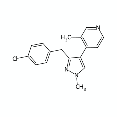 Cc1cnccc1-c1cn(C)nc1Cc1ccc(Cl)cc1